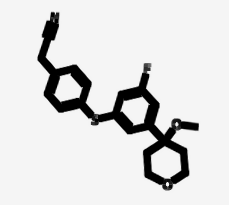 COC1(c2cc(F)cc(Sc3ccc(CC#N)cc3)c2)CCOCC1